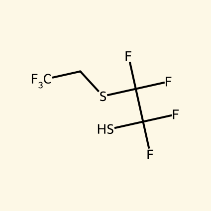 FC(F)(F)CSC(F)(F)C(F)(F)S